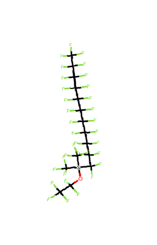 FC(F)(F)C(F)(F)O[Si](C(F)(F)F)(C(F)(F)F)C(F)(F)C(F)(F)C(F)(F)C(F)(F)C(F)(F)C(F)(F)C(F)(F)C(F)(F)C(F)(F)C(F)(F)C(F)(F)F